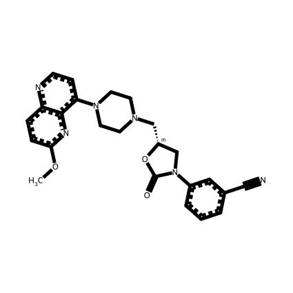 COc1ccc2nccc(N3CCN(C[C@@H]4CN(c5cccc(C#N)c5)C(=O)O4)CC3)c2n1